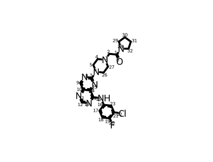 O=C(CN1CCN(c2ncc3ncnc(Nc4ccc(F)c(Cl)c4)c3n2)CC1)N1CCCC1